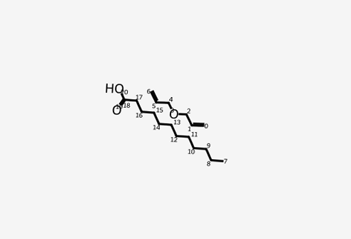 C=CCOCC=C.CCCCCCCCCCCC(=O)O